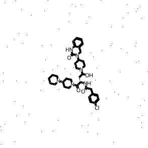 O=C(Cc1ccc(Cl)cc1)N[C@@H](CC(O)N1CCC(N2Cc3ccccc3NC2=O)CC1)C(=O)N1CCC(N2CCCCC2)CC1